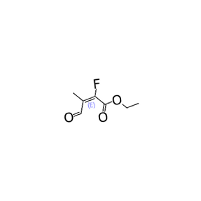 CCOC(=O)/C(F)=C(/C)C=O